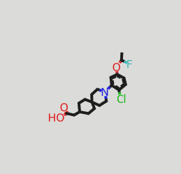 CC(F)Oc1ccc(Cl)c(N2CCC3(CCC(CC(=O)O)CC3)CC2)c1